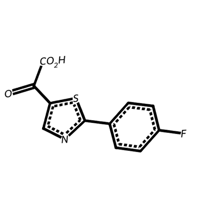 O=C(O)C(=O)c1cnc(-c2ccc(F)cc2)s1